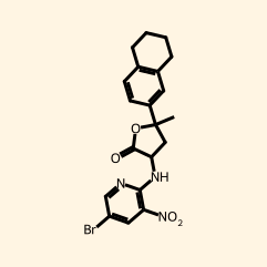 CC1(c2ccc3c(c2)CCCC3)CC(Nc2ncc(Br)cc2[N+](=O)[O-])C(=O)O1